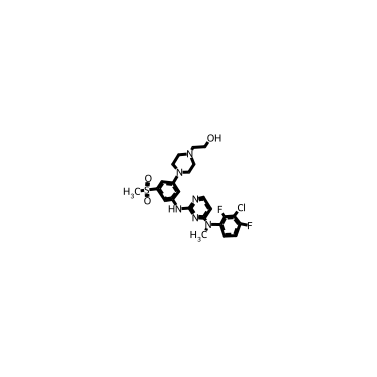 CN(c1ccnc(Nc2cc(N3CCN(CCO)CC3)cc(S(C)(=O)=O)c2)n1)c1ccc(F)c(Cl)c1F